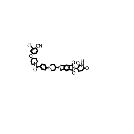 N#Cc1ccc(OC2CCN(C(=O)c3ccc(N4CCC(N5Cc6cc7c(cc6C5)C(=O)N(C5CCC(=O)NC5=O)C7=O)CC4)cc3)CC2)cc1Cl